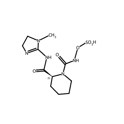 CN1CCN=C1NC(=O)[C@@H]1CCCCN1C(=O)NOS(=O)(=O)O